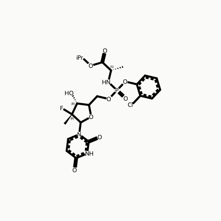 CC(C)OC(=O)[C@H](C)NP(=O)(OCC1OC(n2ccc(=O)[nH]c2=O)[C@](C)(F)[C@@H]1O)Oc1ccccc1Cl